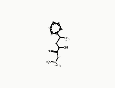 CC(C)OC(=O)C(O)CC(N)c1ccccc1